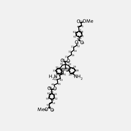 COC(=O)/C=C/c1ccc(C(=O)OCCCCCCOC(=O)C(Cc2ccc(N)cc2)(Cc2ccc(N)cc2)C(=O)OCCCCCCOC(=O)c2ccc(/C=C/C(=O)OC)cc2)cc1